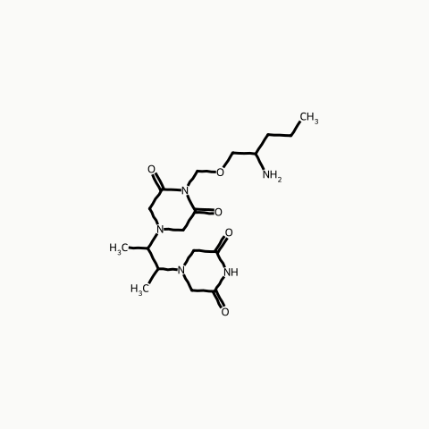 CCCC(N)COCN1C(=O)CN(C(C)C(C)N2CC(=O)NC(=O)C2)CC1=O